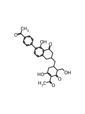 CC(=O)C1=C(O)CC(CC2CC(=O)c3c(ccc(-c4ccc(C(C)=O)cc4)c3O)C2)C(CO)C1=O